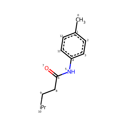 Cc1ccc(NC(=O)CCC(C)C)cc1